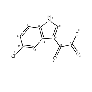 O=C(Cl)C(=O)c1c[nH]c2ccc(Cl)cc12